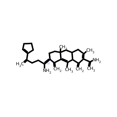 C=C(N)C1=C(C)CC2CC3(C)CC/C(=C(/N)CCC(=C)C4=CCCC4)C(=C)C3=C(C)C2C1=C